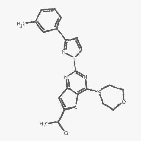 Cc1cccc(-c2ccn(-c3nc(N4CCOCC4)c4sc(C(C)Cl)cc4n3)n2)c1